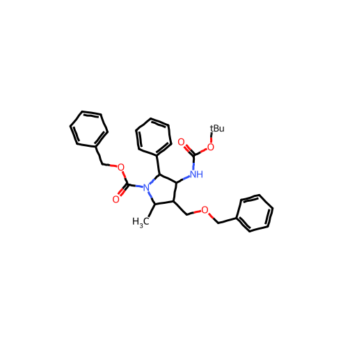 CC1C(COCc2ccccc2)C(NC(=O)OC(C)(C)C)C(c2ccccc2)N1C(=O)OCc1ccccc1